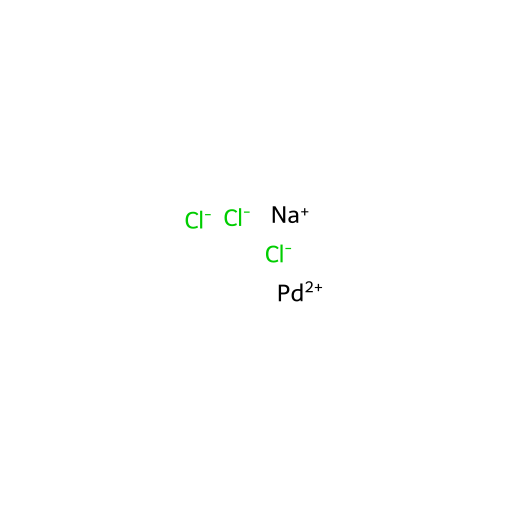 [Cl-].[Cl-].[Cl-].[Na+].[Pd+2]